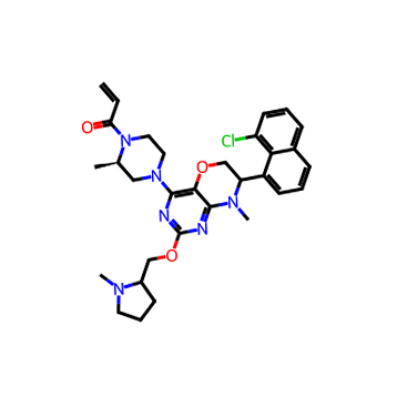 C=CC(=O)N1CCN(c2nc(OCC3CCCN3C)nc3c2OCC(c2cccc4cccc(Cl)c24)N3C)C[C@H]1C